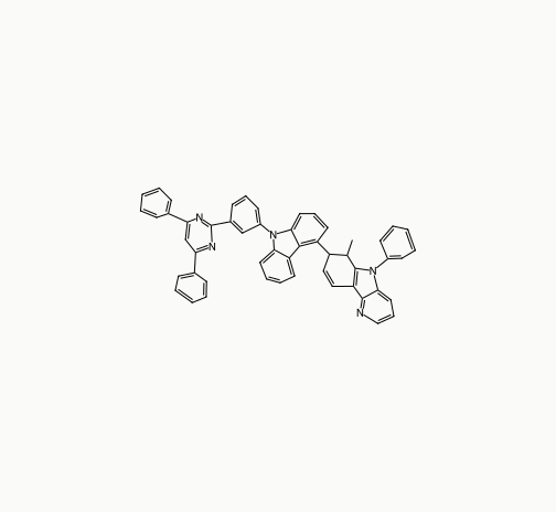 CC1c2c(c3ncccc3n2-c2ccccc2)C=CC1c1cccc2c1c1ccccc1n2-c1cccc(-c2nc(-c3ccccc3)cc(-c3ccccc3)n2)c1